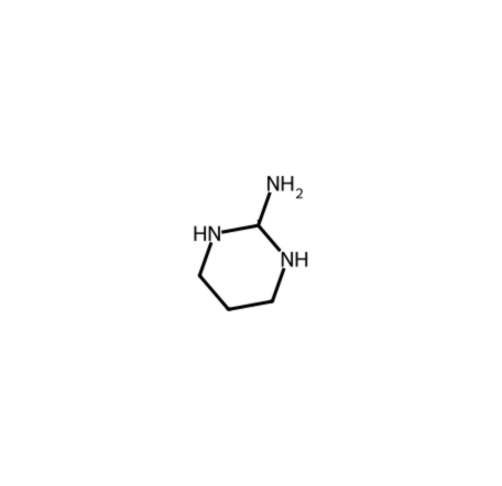 N[C]1NCCCN1